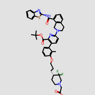 Cc1c(OCCC[C@H]2CCN(CC(=O)O)CC2(F)F)cccc1-c1ccc(N2CCc3cccc(C(=O)Nc4nc5ccccc5s4)c3C2)nc1C(=O)OC(C)(C)C